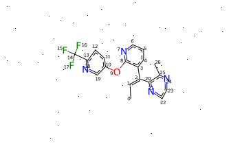 C/C=C(/c1cccnc1Oc1ccc(C(F)(F)F)nc1)c1nccnc1C